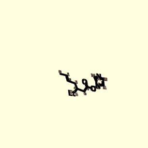 CC=CCC(CC)CC(=O)On1ccnc1